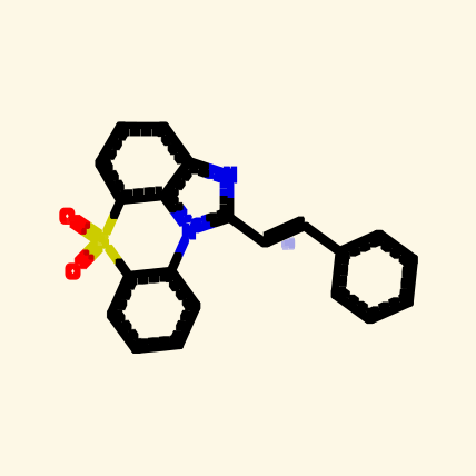 O=S1(=O)c2ccccc2-n2c(/C=C/c3ccccc3)nc3cccc1c32